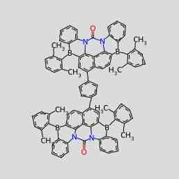 Cc1cccc(C)c1B1c2ccccc2N2C(=O)N3c4ccccc4B(c4c(C)cccc4C)c4cc(-c5ccc(-c6cc7c8c9c%10c(ccc69)B(c6c(C)cccc6C)c6ccccc6N%10C(=O)N8c6ccccc6B7c6c(C)cccc6C)cc5)c5ccc1c2c5c43